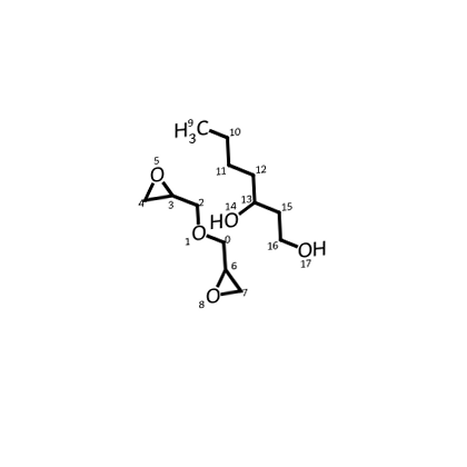 C(OCC1CO1)C1CO1.CCCCC(O)CCO